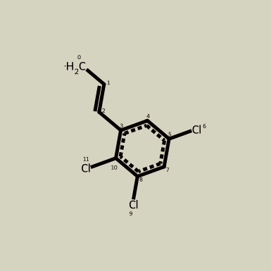 [CH2]C=Cc1cc(Cl)cc(Cl)c1Cl